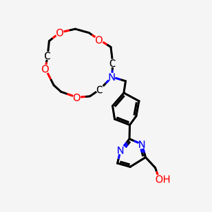 OCc1ccnc(-c2ccc(CN3CCOCCOCCOCCOCC3)cc2)n1